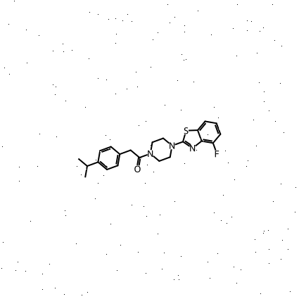 CC(C)c1ccc(CC(=O)N2CCN(c3nc4c(F)cccc4s3)CC2)cc1